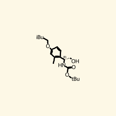 CCC(C)COc1ccc([C@H](CO)NC(=O)OC(C)(C)C)c(C)c1